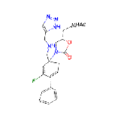 CC(=O)NC[C@H]1CN(C2(CNCc3cnn[nH]3)C=C(F)C(c3ccccc3)=CC2)C(=O)O1